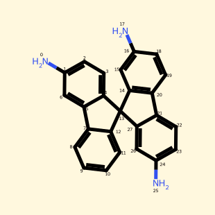 Nc1ccc2c(c1)-c1ccccc1C21c2cc(N)ccc2-c2ccc(N)cc21